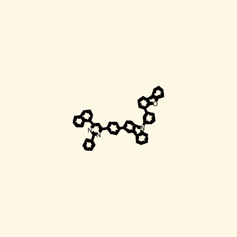 c1ccc(-c2nc(-c3ccc(-c4ccc5c(c4)c4ccccc4n5-c4cccc(-c5cccc6c5oc5ccccc56)c4)cc3)cc(-c3cccc4ccccc34)n2)cc1